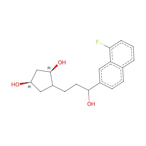 OC(CCC1C[C@@H](O)C[C@H]1O)c1ccc2cccc(F)c2c1